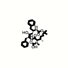 CC[C@H](C)[C@@H](C(=O)N[C@@H](Cc1ccccc1)[C@H](O)C[C@H](Cc1ccccc1)NC(=O)OC(C)(C)C)N(C)C(=O)O